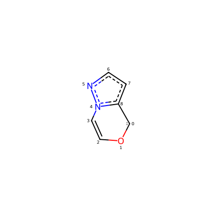 [C]1OC=Cn2nccc21